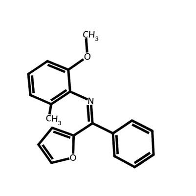 COc1cccc(C)c1N=C(c1ccccc1)c1ccco1